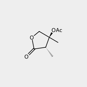 CC(=O)O[C@]1(C)COC(=O)[C@H]1C